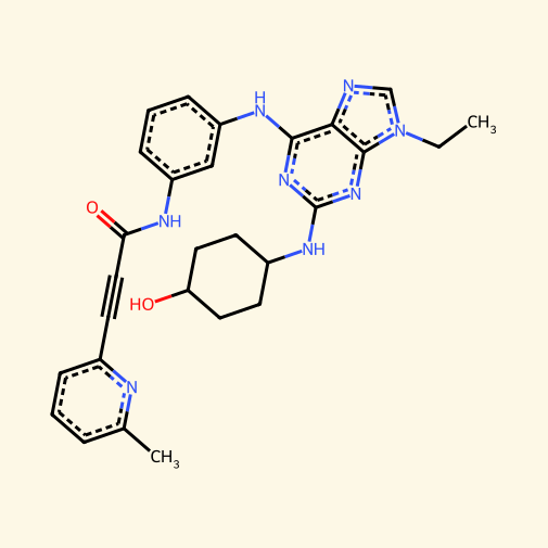 CCn1cnc2c(Nc3cccc(NC(=O)C#Cc4cccc(C)n4)c3)nc(NC3CCC(O)CC3)nc21